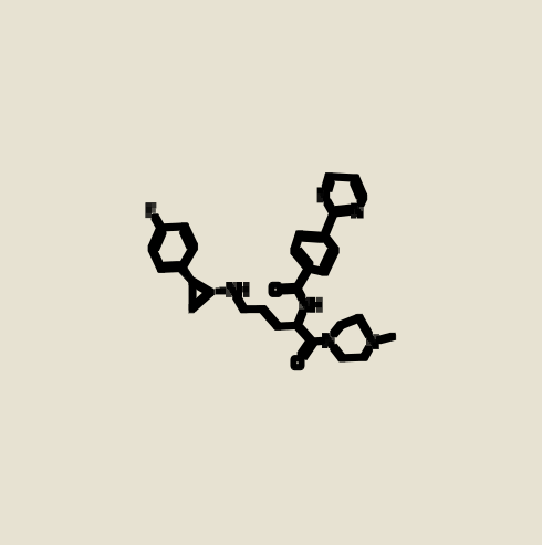 CN1CCN(C(=O)C(CCCN[C@@H]2C[C@H]2c2ccc(F)cc2)NC(=O)c2ccc(-c3ncccn3)cc2)CC1